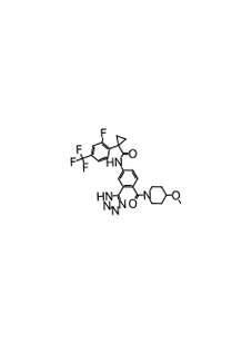 COC1CCN(C(=O)c2ccc(NC(=O)C3(c4ccc(C(F)(F)F)cc4F)CC3)cc2-c2nnn[nH]2)CC1